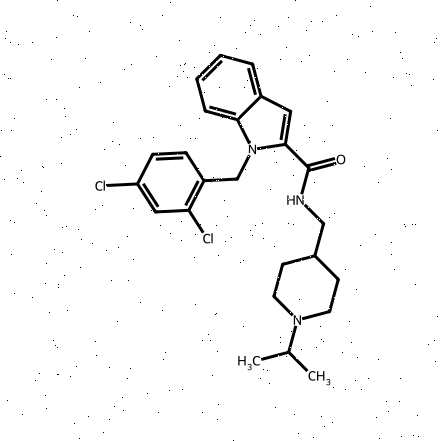 CC(C)N1CCC(CNC(=O)c2cc3ccccc3n2Cc2ccc(Cl)cc2Cl)CC1